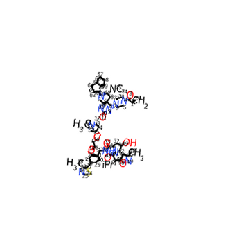 C=CC(=O)N1CCN(c2nc(OC[C@@H]3C[C@@H](OCCOc4cc(-c5scnc5C)ccc4CNC(=O)[C@@H]4C[C@@H](O)CN4C(=O)[C@@H](c4cc(C)no4)C(C)C)CN3C)nc3c2CCN(c2cccc4ccccc24)C3)C[C@@H]1CC#N